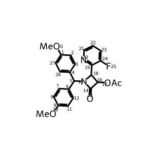 COc1ccc(C(c2ccc(OC)cc2)N2C(=O)C(OC(C)=O)C2c2ncccc2F)cc1